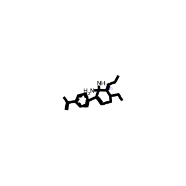 C=C(C)c1ccc(C2=CCC(CC)/C(=C\CC)C2(N)N)cc1